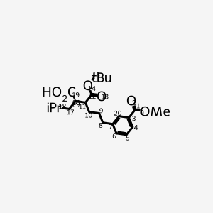 COC(=O)c1cccc(CCCC(C(=O)OC(C)(C)C)[C@@H](CC(C)C)C(=O)O)c1